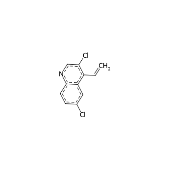 C=Cc1c(Cl)cnc2ccc(Cl)cc12